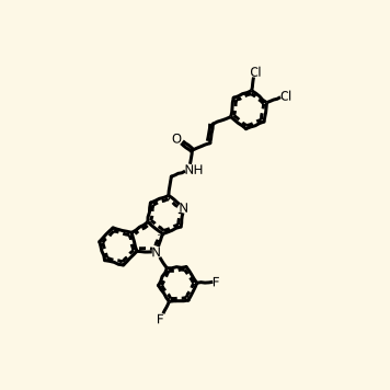 O=C(/C=C/c1ccc(Cl)c(Cl)c1)NCc1cc2c3ccccc3n(-c3cc(F)cc(F)c3)c2cn1